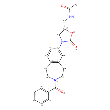 CC(=O)NC[C@H]1CN(c2ccc3c(c2)CCN(C(=O)c2ccccc2)CC3)C(=O)O1